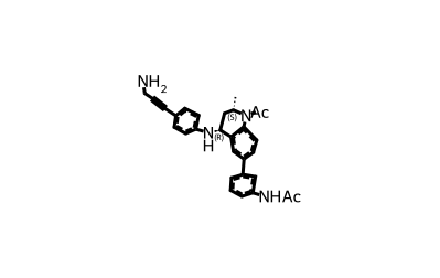 CC(=O)Nc1cccc(-c2ccc3c(c2)[C@H](Nc2ccc(C#CCN)cc2)C[C@H](C)N3C(C)=O)c1